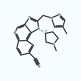 Cc1cnn(Cc2nc3cnc4ccc(C#N)cc4c3n2[C@@H]2CCN(C)C2)c1